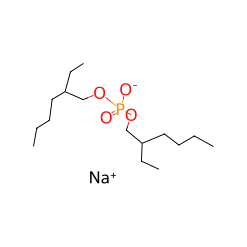 CCCCC(CC)COP(=O)([O-])OCC(CC)CCCC.[Na+]